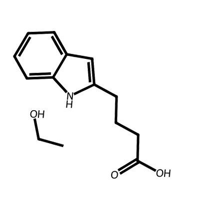 CCO.O=C(O)CCCc1cc2ccccc2[nH]1